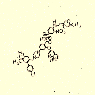 C[C@@H]1CO[C@@H](CCNc2ccc(S(=O)(=O)NC(=O)c3ccc(N4CCN(CC5=C(c6ccc(Cl)cc6)CC(C)(C)CC5)CC4)cc3Oc3cnc4[nH]ccc4c3)cc2[N+](=O)[O-])CO1